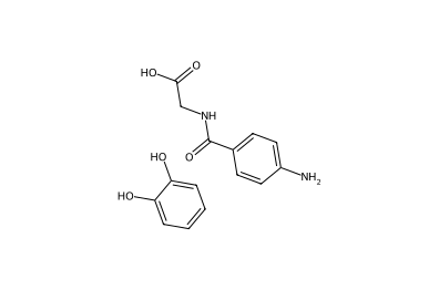 Nc1ccc(C(=O)NCC(=O)O)cc1.Oc1ccccc1O